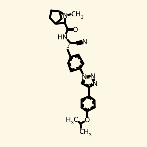 CC(C)Oc1ccc(-c2cn(-c3ccc(C[C@@H](C#N)NC(=O)C4C5CCC(C5)N4C)cc3)nn2)cc1